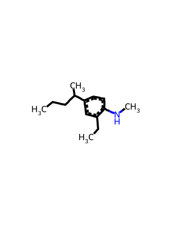 CCCC(C)c1ccc(NC)c(CC)c1